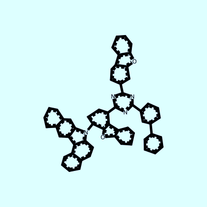 c1ccc(-c2cccc(-c3nc(-c4ccc5c(c4)oc4ccccc45)nc(-c4ccc(-n5c6cc7ccccc7cc6c6c7ccccc7ccc65)c5oc6ccccc6c45)n3)c2)cc1